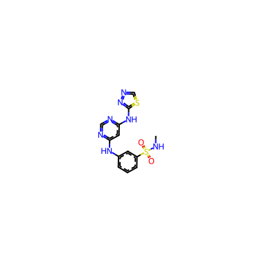 CNS(=O)(=O)c1cccc(Nc2cc(Nc3nncs3)ncn2)c1